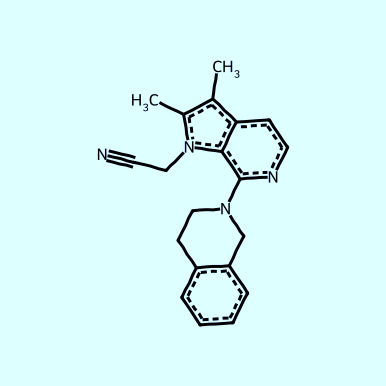 Cc1c(C)n(CC#N)c2c(N3CCc4ccccc4C3)nccc12